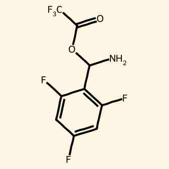 NC(OC(=O)C(F)(F)F)c1c(F)cc(F)cc1F